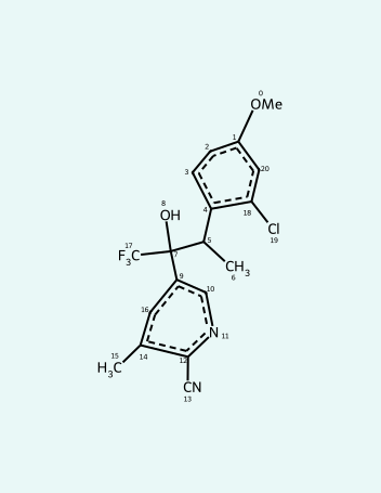 COc1ccc(C(C)C(O)(c2cnc(C#N)c(C)c2)C(F)(F)F)c(Cl)c1